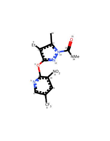 CCc1c(Oc2ncc(C(F)(F)F)cc2[N+](=O)[O-])nn(C(=O)NC)c1C